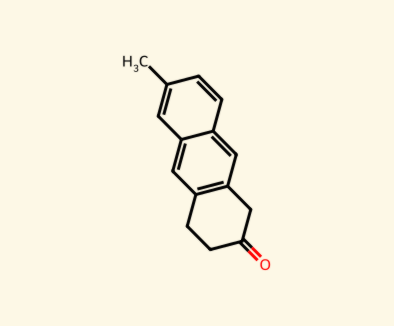 Cc1ccc2cc3c(cc2c1)CCC(=O)C3